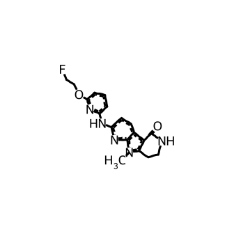 Cn1c2c(c3ccc(Nc4cccc(OCCF)n4)nc31)C(=O)NCC2